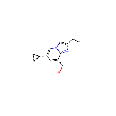 CCc1cn2cc(C3CC3)cc(CO)c2n1